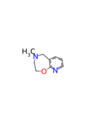 CN1CCOc2ncccc2C1